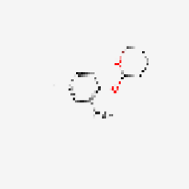 CC(=O)Oc1cc(C)ccc1OC1CCCCO1